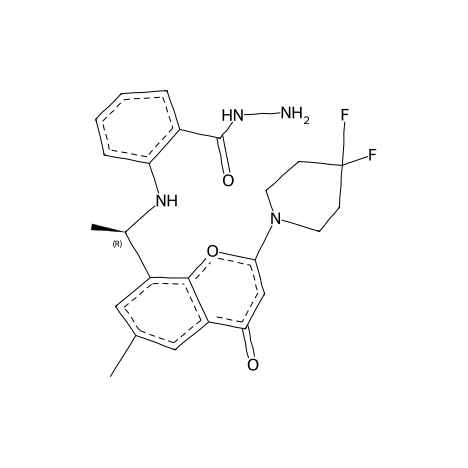 Cc1cc([C@@H](C)Nc2ccccc2C(=O)NN)c2oc(N3CCC(F)(F)CC3)cc(=O)c2c1